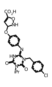 CC(C)n1c(=O)[nH]/c(=N\c2ccc(OC3C=C(C(=O)O)ON3)cc2)n(Cc2ccc(Cl)cc2)c1=O